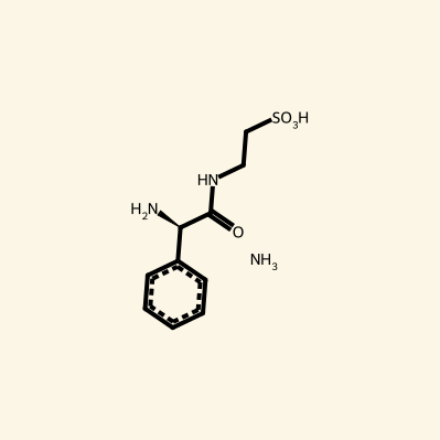 N.N[C@@H](C(=O)NCCS(=O)(=O)O)c1ccccc1